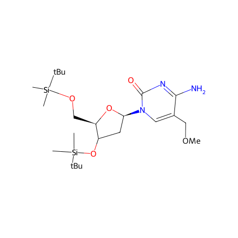 COCc1cn([C@H]2CC(O[Si](C)(C)C(C)(C)C)[C@@H](CO[Si](C)(C)C(C)(C)C)O2)c(=O)nc1N